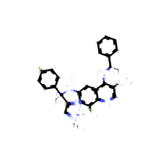 [2H][C@](Nc1cc(Cl)c2ncc(C#N)c(N[C@H](CC)c3ccccc3)c2c1)(c1ccc(F)cc1)c1cn(C(C)(C)C)nn1